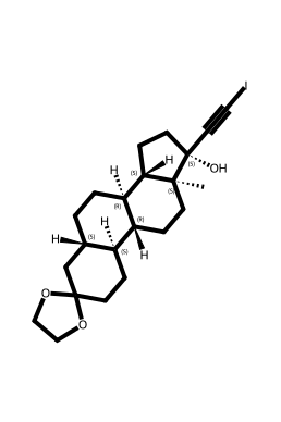 C[C@]12CC[C@H]3[C@@H](CC[C@H]4CC5(CC[C@@H]43)OCCO5)[C@@H]1CC[C@@]2(O)C#CI